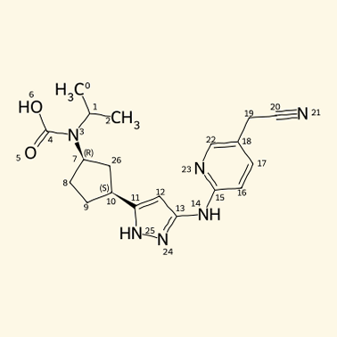 CC(C)N(C(=O)O)[C@@H]1CC[C@H](c2cc(Nc3ccc(CC#N)cn3)n[nH]2)C1